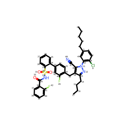 CCCCCc1ccc(Cl)c(-n2nc(CCCC)c(Cc3ccc(-c4ccccc4S(=O)(=O)NC(=O)c4ccccc4F)cc3F)c2C#N)c1